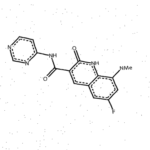 CNc1cc(F)cc2cc(C(=O)Nc3ccncn3)c(=O)[nH]c12